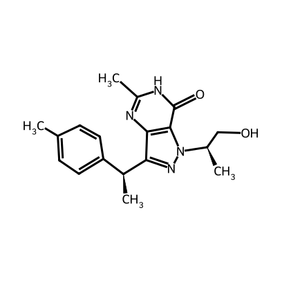 Cc1ccc([C@H](C)c2nn([C@H](C)CO)c3c(=O)[nH]c(C)nc23)cc1